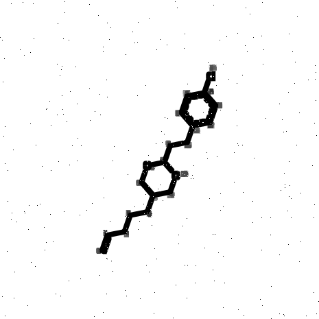 C=CCCCC1COC(CCc2ccc(Cl)cc2)OC1